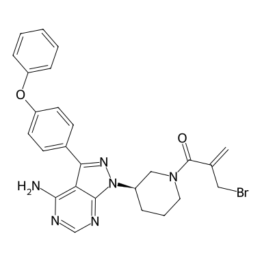 C=C(CBr)C(=O)N1CCC[C@@H](n2nc(-c3ccc(Oc4ccccc4)cc3)c3c(N)ncnc32)C1